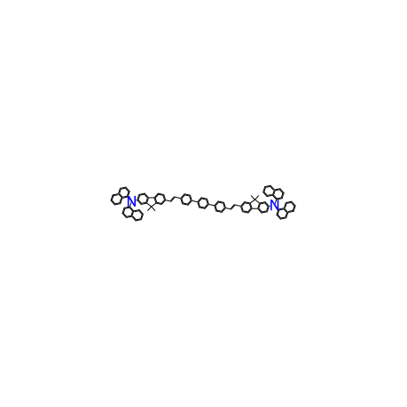 CC1(C)c2cc(/C=C/c3ccc(-c4ccc(-c5ccc(/C=C/c6ccc7c(c6)C(C)(C)c6cc(N(c8cccc9ccccc89)c8cccc9ccccc89)ccc6-7)cc5)cc4)cc3)ccc2-c2ccc(N(c3cccc4ccccc34)c3cccc4ccccc34)cc21